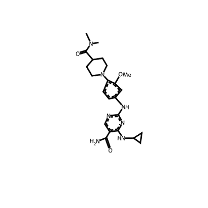 COc1cc(Nc2ncc(C(N)=O)c(NC3CC3)n2)ccc1N1CCC(C(=O)N(C)C)CC1